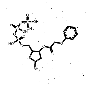 BC1CC(OC(=O)COc2ccccc2)C(COP(=O)(O)OP(=O)(O)OP(=O)(O)O)S1